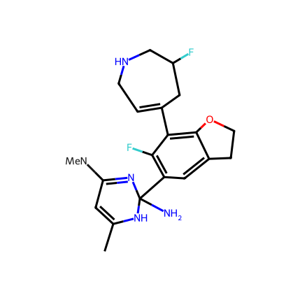 CNC1=NC(N)(c2cc3c(c(C4=CCNCC(F)C4)c2F)OCC3)NC(C)=C1